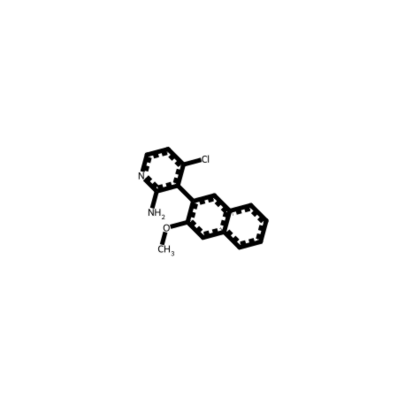 COc1cc2ccccc2cc1-c1c(Cl)ccnc1N